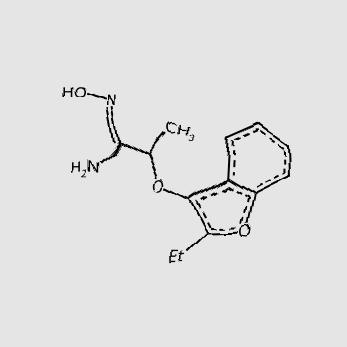 CCc1oc2ccccc2c1OC(C)C(N)=NO